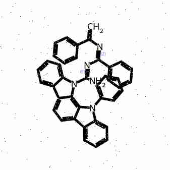 C=C(/N=C(\N=C(/N)n1c2ccccc2c2ccc3c4ccccc4n(-c4ccccc4)c3c21)c1ccccc1)c1ccccc1